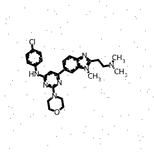 CN(C)CCc1nc2ccc(-c3cc(Nc4ccc(Cl)cc4)nc(N4CCOCC4)n3)cc2n1C